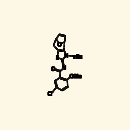 CCCCn1c2c(sc1=NC(=O)c1cc(Cl)ccc1OC)CC1C=CC2O1